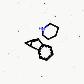 C1=C2CC2c2ccccc21.C1CCNCC1